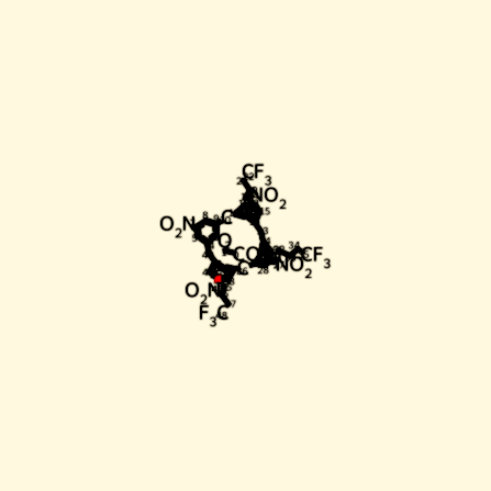 O=C(O)COc1c2cc([N+](=O)[O-])cc1Cc1cc([N+](=O)[O-])cc(c1OCCCC(F)(F)F)Cc1cc([N+](=O)[O-])cc(c1OCCCC(F)(F)F)Cc1cc([N+](=O)[O-])cc(c1OCCCC(F)(F)F)C2